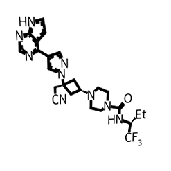 CC[C@H](NC(=O)N1CCN([C@H]2C[C@](CC#N)(n3cc(-c4ncnc5[nH]ccc45)cn3)C2)CC1)C(F)(F)F